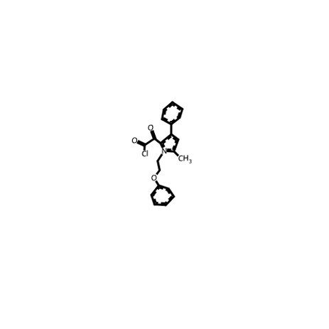 Cc1cc(-c2ccccc2)c(C(=O)C(=O)Cl)n1CCOc1ccccc1